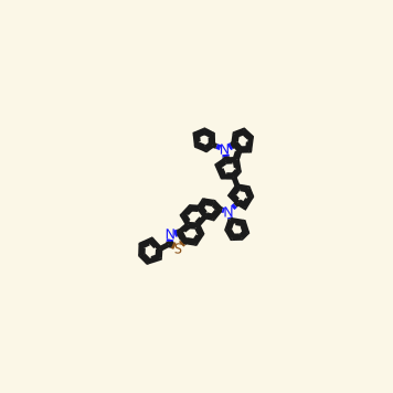 c1ccc(-c2nc3c(ccc4c5cc(N(c6ccccc6)c6cccc(-c7ccc8c(c7)c7ccccc7n8-c7ccccc7)c6)ccc5ccc43)s2)cc1